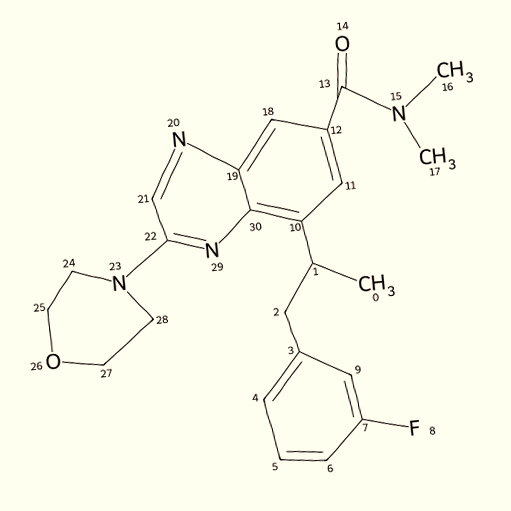 CC(Cc1cccc(F)c1)c1cc(C(=O)N(C)C)cc2ncc(N3CCOCC3)nc12